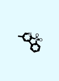 Cc1cnc2c(c1)-c1ccccc1S2(=O)=O